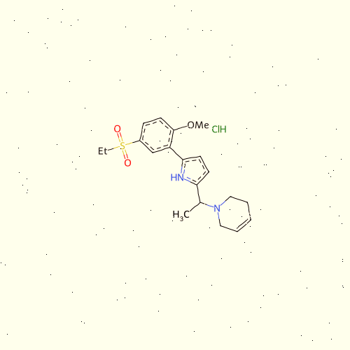 CCS(=O)(=O)c1ccc(OC)c(-c2ccc(C(C)N3CC=CCC3)[nH]2)c1.Cl